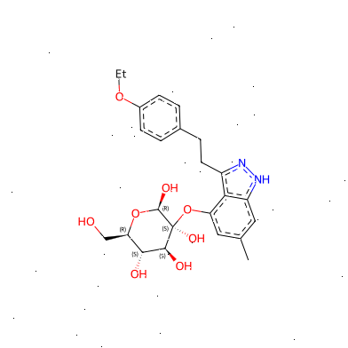 CCOc1ccc(CCc2n[nH]c3cc(C)cc(O[C@]4(O)[C@H](O)O[C@H](CO)[C@@H](O)[C@@H]4O)c23)cc1